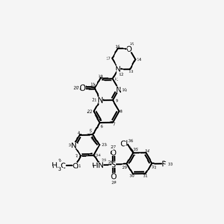 COc1ncc(-c2ccc3nc(N4CCOCC4)cc(=O)n3c2)cc1NS(=O)(=O)c1ccc(F)cc1Cl